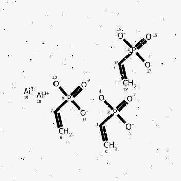 C=CP(=O)([O-])[O-].C=CP(=O)([O-])[O-].C=CP(=O)([O-])[O-].[Al+3].[Al+3]